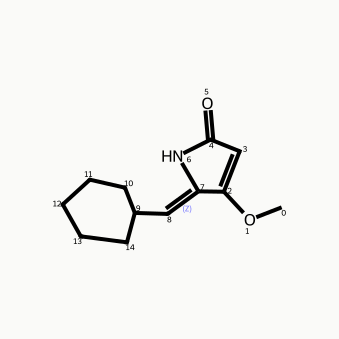 COC1=CC(=O)N/C1=C\C1CCCCC1